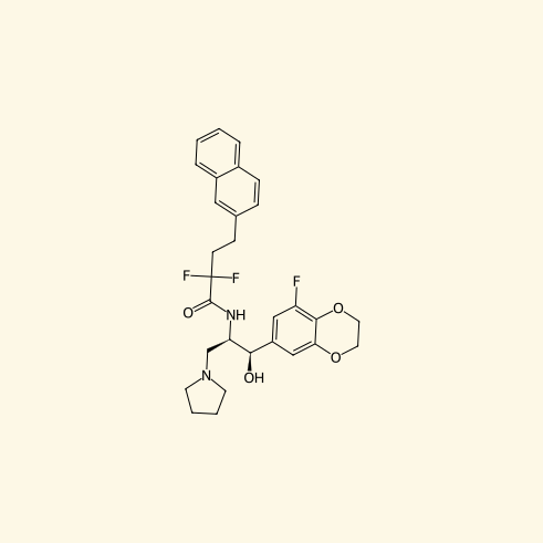 O=C(N[C@H](CN1CCCC1)[C@H](O)c1cc(F)c2c(c1)OCCO2)C(F)(F)CCc1ccc2ccccc2c1